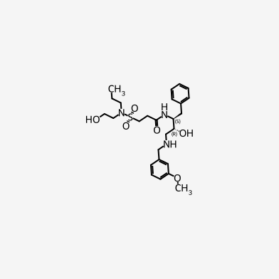 CCCN(CCO)S(=O)(=O)CCC(=O)N[C@@H](Cc1ccccc1)[C@H](O)CNCc1cccc(OC)c1